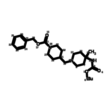 CC1(NC(=O)OC(C)(C)C)CCN(CC2CCN(C(=O)OCc3ccccc3)CC2)CC1